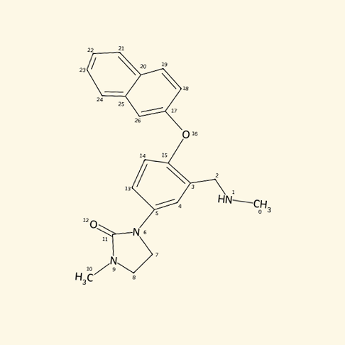 CNCc1cc(N2CCN(C)C2=O)ccc1Oc1ccc2ccccc2c1